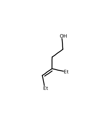 CC/C=C(\CC)CCO